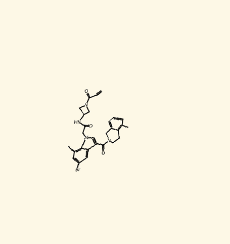 C=CC(=O)N1CC(NC(=O)Cn2cc(C(=O)N3CCc4c(C)cccc4C3)c3cc(Br)cc(C)c32)C1